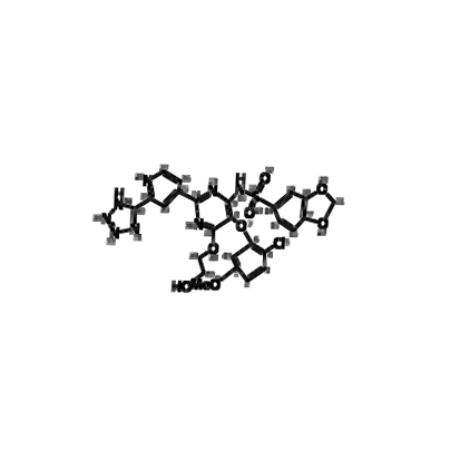 COc1ccc(Cl)c(Oc2c(NS(=O)(=O)c3ccc4c(c3)OCO4)nc(-c3ccnc(-c4nnn[nH]4)c3)nc2OCCO)c1